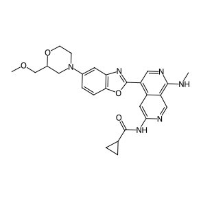 CNc1ncc(-c2nc3cc(N4CCOC(COC)C4)ccc3o2)c2cc(NC(=O)C3CC3)ncc12